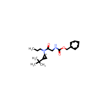 CCCN(C(=O)CNC(=O)OCc1ccccc1)[C@H]1C=C1C(C)(C)C